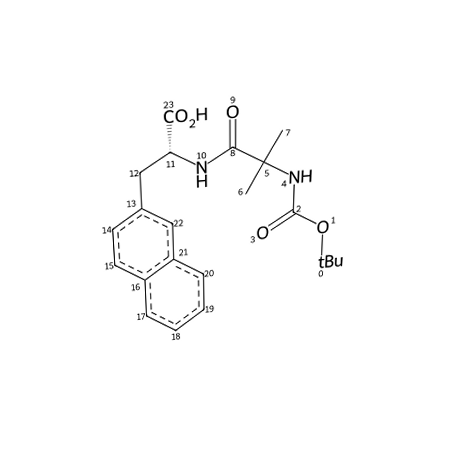 CC(C)(C)OC(=O)NC(C)(C)C(=O)N[C@H](Cc1ccc2ccccc2c1)C(=O)O